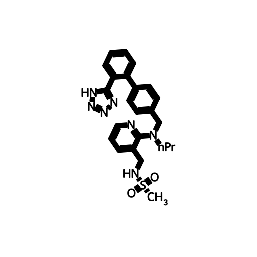 CCCN(Cc1ccc(-c2ccccc2-c2nnn[nH]2)cc1)c1ncccc1CNS(C)(=O)=O